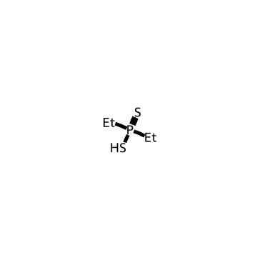 CCP(=S)(S)CC